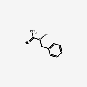 N=C(N)N([At])Cc1ccccc1